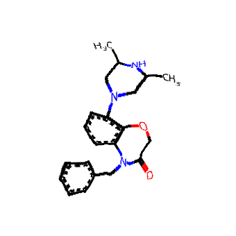 CC1CN(c2cccc3c2OCC(=O)N3Cc2ccccc2)CC(C)N1